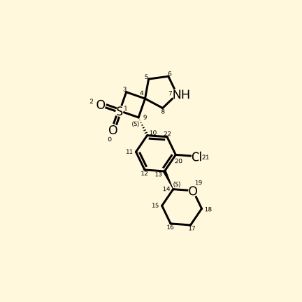 O=S1(=O)CC2(CCNC2)[C@@H]1c1ccc([C@@H]2CCCCO2)c(Cl)c1